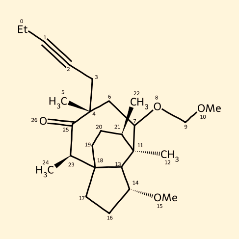 CCC#CC[C@]1(C)CC(OCOC)[C@@]2(C)C3[C@H](OC)CCC3(CC[C@H]2C)[C@@H](C)C1=O